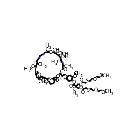 COCCOCCSCC(=O)OCC(C)(COC(=O)CSCCOCCOC)C(=O)O[C@@H]1CC[C@@H](C[C@@H](C)[C@@H]2CC(=O)[C@H](C)/C=C(\C)[C@@H](O)[C@@H](OC)C(=O)[C@H](C)C[C@H](C)/C=C/C=C/C=C(\C)[C@@H](OC)C[C@@H]3CC[C@@H](C)[C@@](O)(O3)C(=O)C(=O)N3CCCC[C@H]3C(=O)O2)C[C@H]1OC